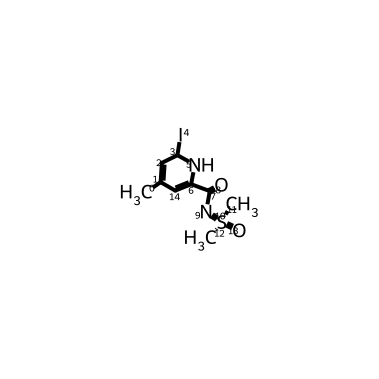 CC1=CC(I)NC(C(=O)N=S(C)(C)=O)=C1